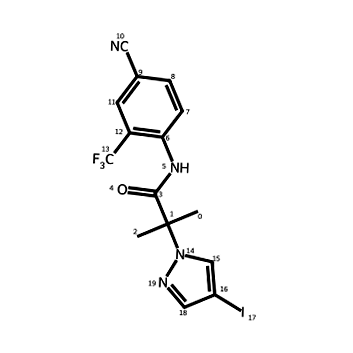 CC(C)(C(=O)Nc1ccc(C#N)cc1C(F)(F)F)n1cc(I)cn1